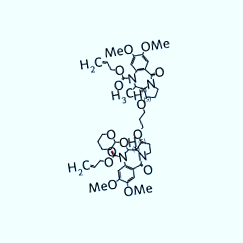 C=CCOC(=O)N1c2cc(OC)c(OC)cc2C(=O)N2CC[C@H](OCCCO[C@H]3CCN4C(=O)c5cc(OC)c(OC)cc5N(C(=O)OCC=C)C(OC5CCCCO5)[C@H]34)[C@H]2C1C